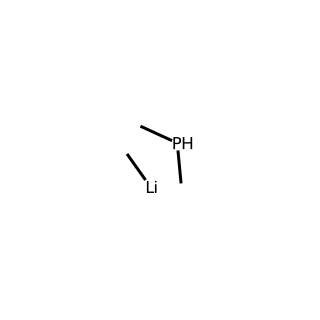 CPC.[Li][CH3]